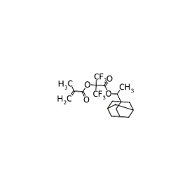 C=C(C)C(=O)OC(C(=O)OC(C)C12CC3CC(CC(C3)C1)C2)(C(F)(F)F)C(F)(F)F